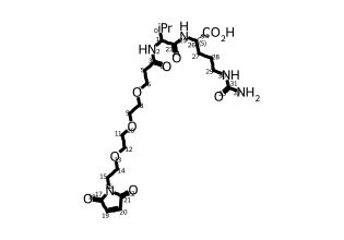 CC(C)C(NC(=O)CCOCCOCCOCCN1C(=O)C=CC1=O)C(=O)N[C@@H](CCCNC(N)=O)C(=O)O